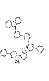 Cc1cc(-c2ccccc2)ccc1-c1cccc(-c2nc(-c3ccccc3)nc(-c3cccc(-c4cccc(-n5c6c(c7ccccc75)C=CCC6)c4)c3)n2)c1C